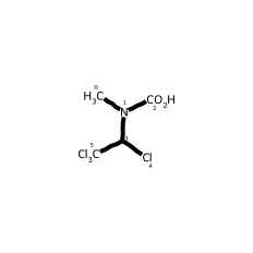 CN(C(=O)O)C(Cl)C(Cl)(Cl)Cl